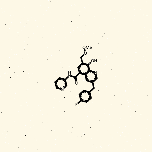 COOCc1cc(C(=O)Nc2cccnc2)c2cc(Cc3ccc(F)cc3)cnc2c1O